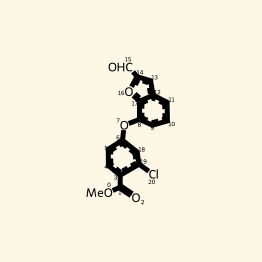 COC(=O)c1ccc(Oc2cccc3cc(C=O)oc23)cc1Cl